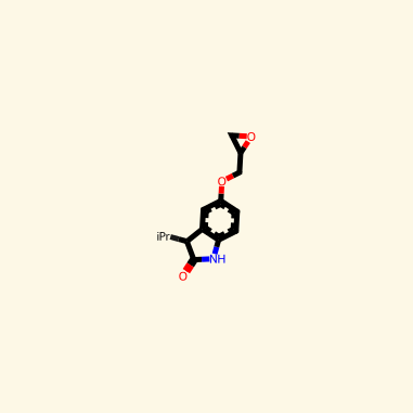 CC(C)C1C(=O)Nc2ccc(OCC3CO3)cc21